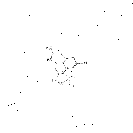 CC(C)CC(CC(=O)O)C(=O)N[C@H](C(=O)O)C(C)(C)C